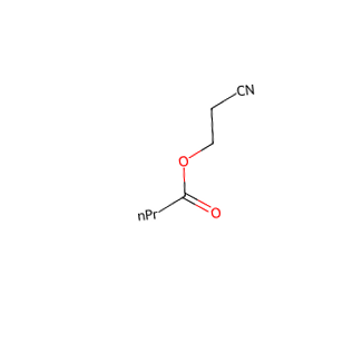 C[CH]CC(=O)OCCC#N